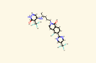 C[C@@H](CCCn1ccc2c(F)c(-c3ncc(C(F)(F)F)cn3)ccc2c1=O)Nc1cn[nH]c(=O)c1C(F)(F)F